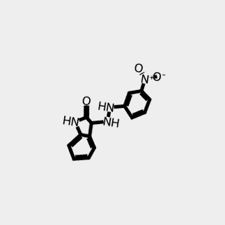 O=C1Nc2ccccc2C1NNc1cccc([N+](=O)[O-])c1